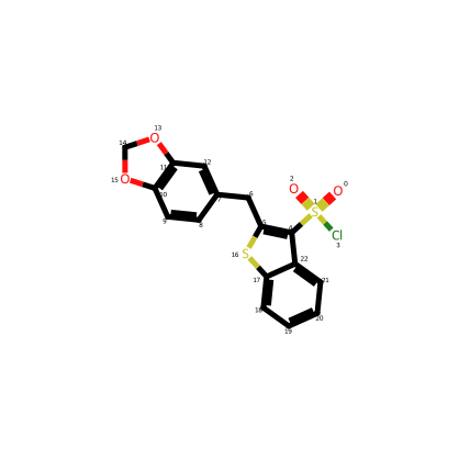 O=S(=O)(Cl)c1c(Cc2ccc3c(c2)OCO3)sc2ccccc12